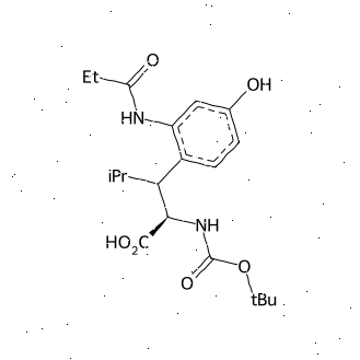 CCC(=O)Nc1cc(O)ccc1C(C(C)C)[C@@H](NC(=O)OC(C)(C)C)C(=O)O